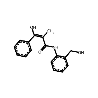 C/C(C(=O)Nc1ccccc1CO)=C(\O)c1ccccc1